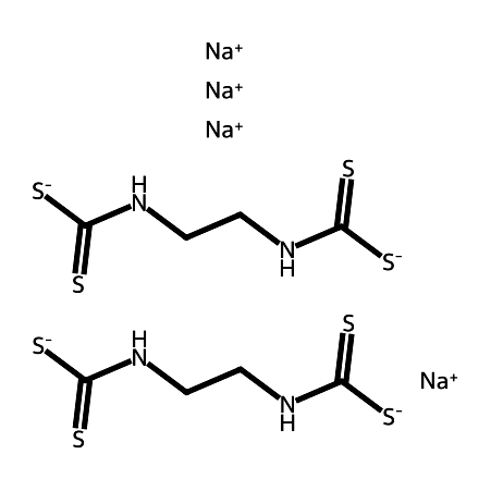 S=C([S-])NCCNC(=S)[S-].S=C([S-])NCCNC(=S)[S-].[Na+].[Na+].[Na+].[Na+]